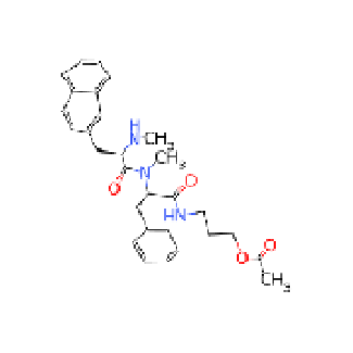 CN[C@H](Cc1ccc2ccccc2c1)C(=O)N(C)C(Cc1ccccc1)C(=O)NCCCOC(C)=O